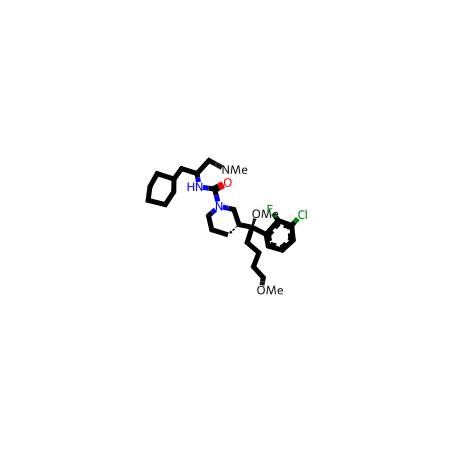 CNCC(CC1CCCCC1)NC(=O)N1CCC[C@@H]([C@](CCCCOC)(OC)c2cccc(Cl)c2F)C1